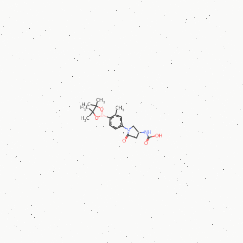 Cc1cc(N2C[C@@H](NC(=O)O)CC2=O)ccc1B1OC(C)(C)C(C)(C)O1